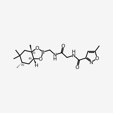 Cc1cc(C(=O)NCC(=O)NCB2O[C@@H]3C[C@H](C)C(C)(C)C[C@]3(C)O2)no1